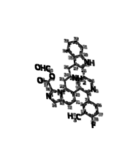 Cc1cc(-c2ncccc2-c2ccc3cnc(C(=O)OC=O)n3c2CC(N)Cc2c[nH]c3ccccc23)ccc1F